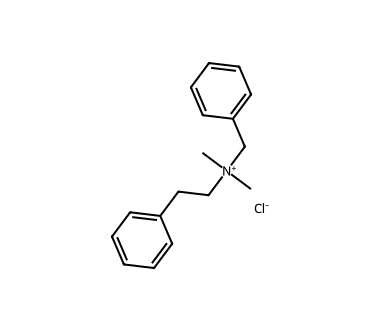 C[N+](C)(CCc1ccccc1)Cc1ccccc1.[Cl-]